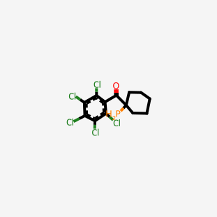 O=C(c1c(Cl)c(Cl)c(Cl)c(Cl)c1Cl)C1(P)CCCCC1